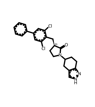 O=C1[C@H](Cc2c(Cl)cc(-c3ccccc3)cc2Cl)CCN1C1CCc2n[nH]cc2C1